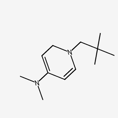 CN(C)C1=CCN(CC(C)(C)C)C=C1